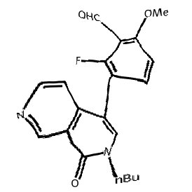 CCCCn1cc(-c2ccc(OC)c(C=O)c2F)c2ccncc2c1=O